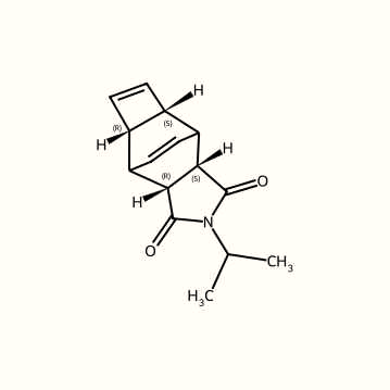 CC(C)N1C(=O)[C@@H]2C3C=CC([C@H]4C=C[C@@H]34)[C@@H]2C1=O